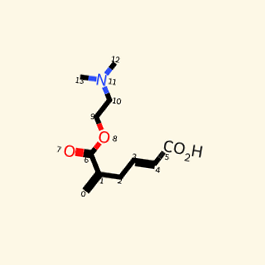 C=C(CC=CC(=O)O)C(=O)OCCN(C)C